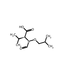 CC(C)CON(C=O)[C@H](C(=O)O)C(C)C